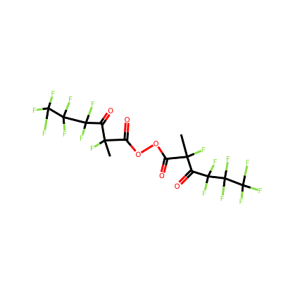 CC(F)(C(=O)OOC(=O)C(C)(F)C(=O)C(F)(F)C(F)(F)C(F)(F)F)C(=O)C(F)(F)C(F)(F)C(F)(F)F